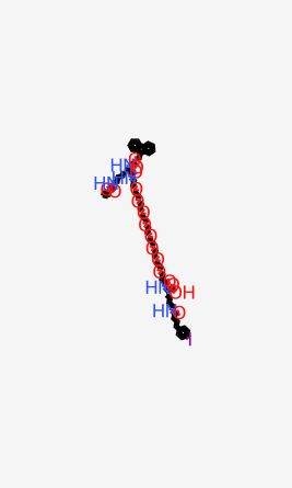 CC(C)(C)OC(=O)NCCCC[C@H](NC(=O)OCC1c2ccccc2-c2ccccc21)C(=O)NCCOCCOCCOCCOCCOCCOCCOCCOCCC(=O)N[C@@H](CCCCNC(=O)CCCc1ccc(I)cc1)C(=O)O